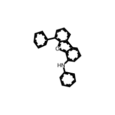 c1ccc(Nc2cccc3c2oc2c(-c4ccccc4)cccc23)cc1